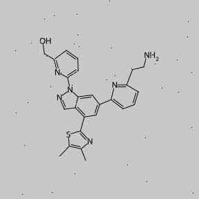 Cc1nc(-c2cc(-c3cccc(CCN)n3)cc3c2cnn3-c2cccc(CO)n2)sc1C